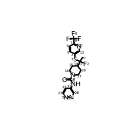 CC(F)(Sc1ccc(C(F)(F)F)nc1)C1CCN(C(=O)Nc2ccnnc2)CC1